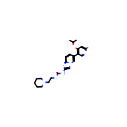 CC(C)Oc1cc(Cl)ncc1-c1ccc2nc(NC(=O)NCCN3CCCCC3)cn2c1